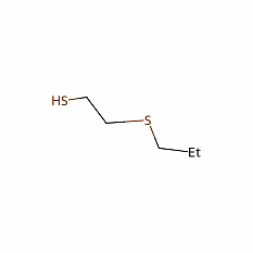 CCCSCCS